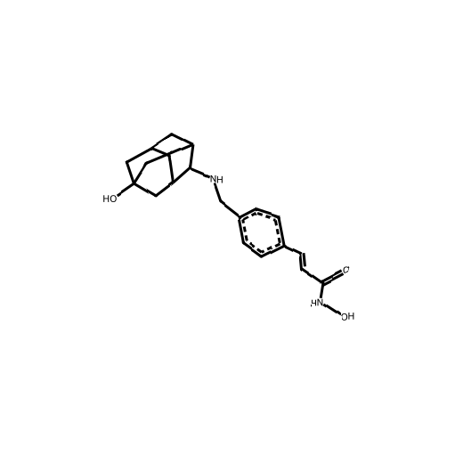 O=C(/C=C/c1ccc(CNC2C3CC4CC2CC(O)(C4)C3)cc1)NO